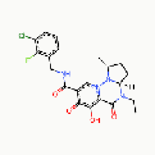 CCN1C(=O)c2c(O)c(=O)c(C(=O)NCc3cccc(Cl)c3F)cn2N2[C@H](C)CC[C@@H]12